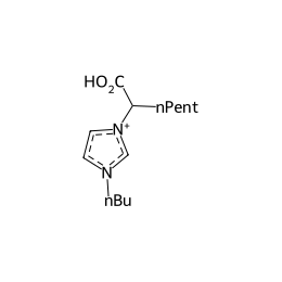 CCCCCC(C(=O)O)[n+]1ccn(CCCC)c1